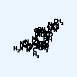 Cc1ncnc2c1ncn2[C@@H]1O[C@@H]2COP(=O)(O)O[C@H]3[C@@H](C(C)C)[C@H](n4cnc5c(N)ncnc54)O[C@@H]3COP(=O)(O)O[C@@H]1[C@@H]2O